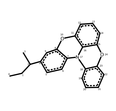 CCC(C)c1ccc2c(c1)Oc1cccc3c1N2c1ccccc1O3